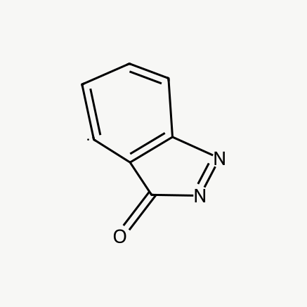 O=C1N=Nc2ccc[c]c21